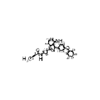 CC#CC(=O)NC1CC(n2nc(-c3ccc(Oc4ccccc4)cc3)c3c(N)nccc32)C1